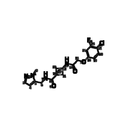 Cn1nccc1CNC(=O)C12CC(NC(=O)COc3ccc(Cl)c(F)c3)(C1)C2